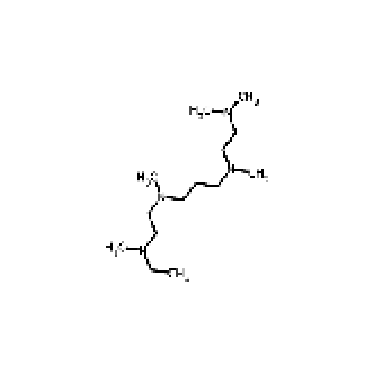 CCN(C)CCN(C)CCCN(C)CCN(C)C